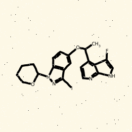 CC(Oc1ccc2c(c1)c(I)nn2C1CCCCO1)c1ccnc2[nH]cc(F)c12